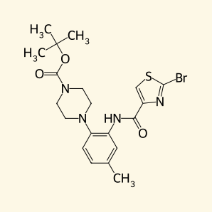 Cc1ccc(N2CCN(C(=O)OC(C)(C)C)CC2)c(NC(=O)c2csc(Br)n2)c1